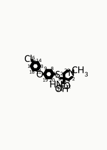 CN1CCC(CSc2ccc(Oc3ccc(Cl)cc3)cc2)(C(=O)NO)CC1